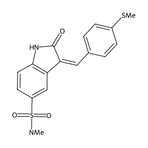 CNS(=O)(=O)c1ccc2c(c1)C(=Cc1ccc(SC)cc1)C(=O)N2